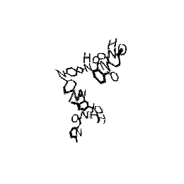 Cc1cccc(CC(=O)Nc2cc3cn(C4CCC(CN(C)C5CCC6(CC5)CC(Nc5cccc7c5C(=O)N(C5CCC(=O)NC5=O)C7=O)C6)CC4)nc3cc2C(C)(C)O)n1